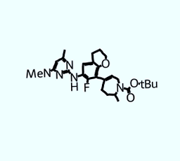 CNc1cc(C)nc(Nc2cc3c(c(C4=CCN(C(=O)OC(C)(C)C)C(C)CC4)c2F)OCCC3)n1